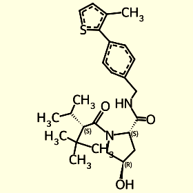 Cc1ccsc1-c1ccc(CNC(=O)[C@@H]2C[C@@H](O)CN2C(=O)[C@@H](C(C)C)C(C)(C)C)cc1